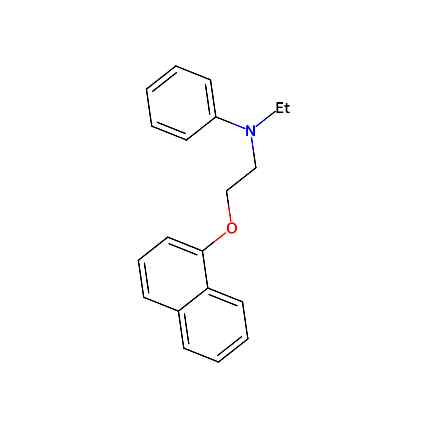 CCN(CCOc1cccc2ccccc12)c1ccccc1